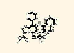 COC(=O)[C@@H]1CSc2c(-c3ccccc3)c(Cc3cccc4ccccc34)c(NS(C)(=O)=O)c(=O)n21